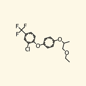 CCOCC(C)Oc1ccc(Oc2ccc(C(F)(F)F)cc2Cl)cc1